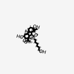 C=C1C[C@]23C[C@@]1(O)CC[C@H]2C1=C[C@@H](O)[C@H](O)[C@@](C)(C(=O)I)C1[C@@H]3C(=O)NCCCCCCO